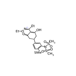 CCO/N=C(/CC)C1=C(O)CC(c2ccc(SC)c(N(S(C)(=O)=O)S(C)(=O)=O)c2)CC1=O